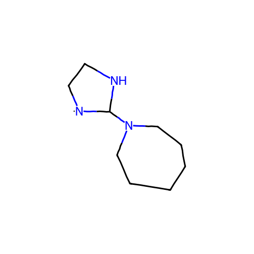 C1CCCN(C2[N]CCN2)CC1